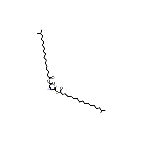 CC(C)CCCCCCCCCCCCCCC(=O)OC(=O)/C=C\C(=O)OC(=O)CCCCCCCCCCCCCCC(C)C